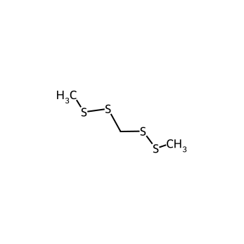 CSSCSSC